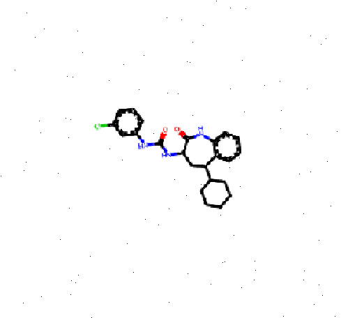 O=C(Nc1cccc(Cl)c1)NC1CC(C2CCCCC2)c2ccccc2NC1=O